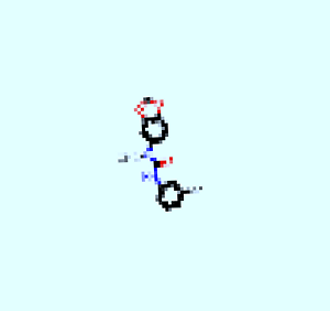 CC(=O)c1cccc(NC(=O)N(C=O)c2ccc3c(c2)OCO3)c1